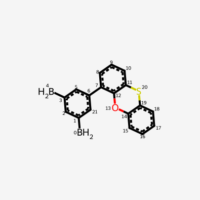 Bc1cc(B)cc(-c2cccc3c2Oc2ccccc2S3)c1